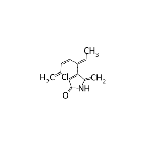 C=C(Cl)/C=C\C(=C/C)C1=CC(=O)NC1=C